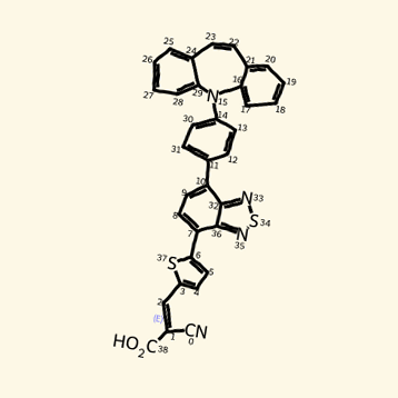 N#C/C(=C\c1ccc(-c2ccc(-c3ccc(N4c5ccccc5C=Cc5ccccc54)cc3)c3nsnc23)s1)C(=O)O